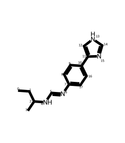 CCC(C)NC=Nc1ccc(-c2c[nH]cn2)cc1